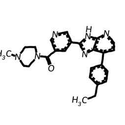 CCc1ccc(-c2ccnc3[nH]c(-c4cncc(C(=O)N5CCN(C)CC5)c4)nc23)cc1